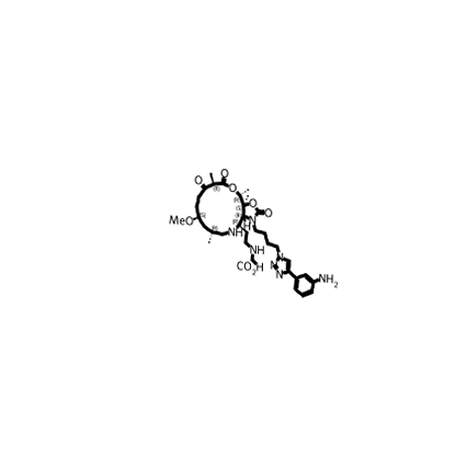 CO[C@H]1CCC(=O)[C@@H](C)C(=O)O[C@H](C)[C@@]2(C)OC(=O)N(CCCCn3cc(-c4cccc(N)c4)nn3)[C@@H]2[C@@H](CCNCC(=O)O)NC[C@H](C)C1